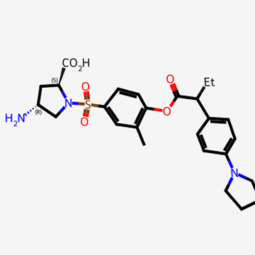 CCC(C(=O)Oc1ccc(S(=O)(=O)N2C[C@H](N)C[C@H]2C(=O)O)cc1C)c1ccc(N2CCCC2)cc1